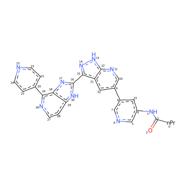 CCCC(=O)Nc1cncc(-c2cnc3[nH]nc(-c4nc5c(-c6ccncc6)nccc5[nH]4)c3c2)c1